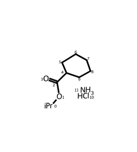 CC(C)OC(=O)C1CCCCC1.Cl.N